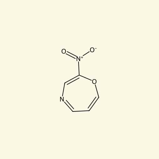 O=[N+]([O-])C1=CN=CC=CO1